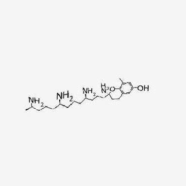 Cc1cc(O)cc2c1O[C@](N)(CCC[C@H](N)CCC[C@H](N)CCC[C@@H](C)N)CC2